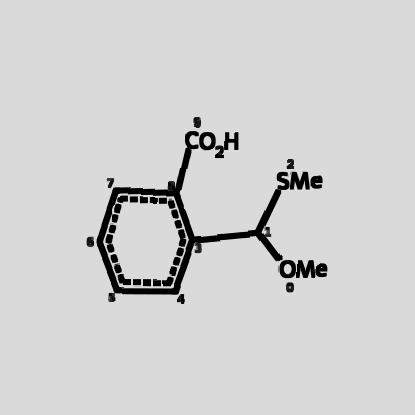 COC(SC)c1ccccc1C(=O)O